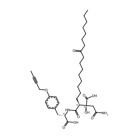 CC#CCOc1ccc(C[C@H](NC(=O)[C@@H](CCCCCCCCC(=O)CCCCCCC)[C@@](O)(CC(N)=O)C(=O)O)C(=O)O)cc1